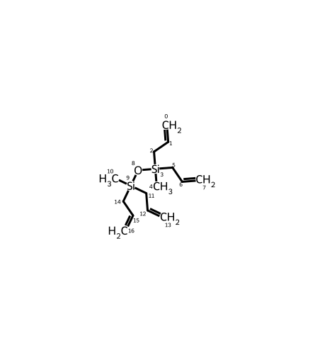 C=CC[Si](C)(CC=C)O[Si](C)(CC=C)CC=C